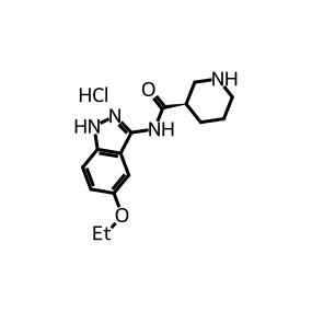 CCOc1ccc2[nH]nc(NC(=O)[C@@H]3CCCNC3)c2c1.Cl